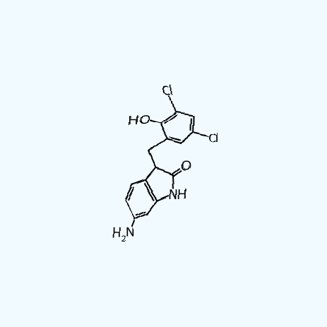 Nc1ccc2c(c1)NC(=O)C2Cc1cc(Cl)cc(Cl)c1O